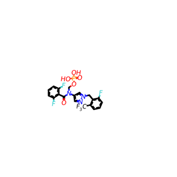 O=C(c1c(F)cccc1F)N(COP(=O)(O)O)c1cnn(Cc2c(F)cccc2C(F)(F)F)c1